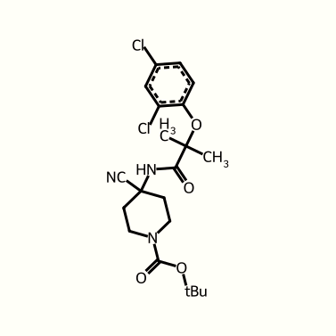 CC(C)(C)OC(=O)N1CCC(C#N)(NC(=O)C(C)(C)Oc2ccc(Cl)cc2Cl)CC1